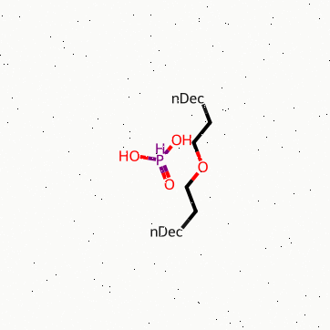 CCCCCCCCCCCCOCCCCCCCCCCCC.O=[PH](O)O